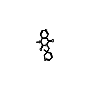 Cn1c(=O)n(CC2(C)C=CC=NC2)c(=O)c2cnccc21